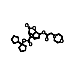 O=C(CN1CCOCC1)OC1C2CC3C1OC(=O)C3C2C(=O)OC1(C2CCCC2)CCCC1